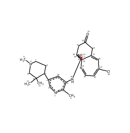 Cc1ncc(C2CCN(C)CC2(C)C)cc1NC1=NC=C2CC(=O)CC3=CC(Cl)=CC=NC23N1